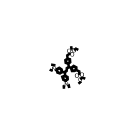 CCOC(C)OC(=O)Cc1ccc(C(=CC=C(c2ccc(N(CC)CC)cc2)c2ccc(N(CC)CC)cc2)c2ccc(CC(=O)OC(C)OCC)cc2)cc1